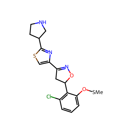 CSOc1cccc(Cl)c1C1CC(c2csc(C3CCNC3)n2)=NO1